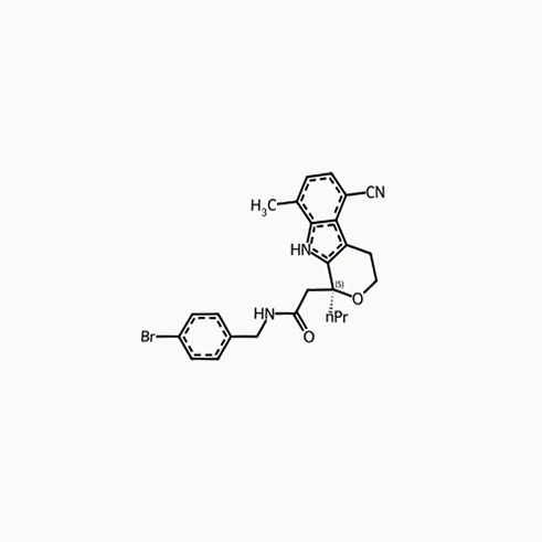 CCC[C@@]1(CC(=O)NCc2ccc(Br)cc2)OCCc2c1[nH]c1c(C)ccc(C#N)c21